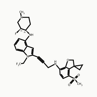 CN1CC[C@@H](Nc2cccc3c2cc(C#CCNc2ccc(S(C)(=O)=O)c4c2OCC42CC2)n3CC(F)(F)F)[C@@H](F)C1